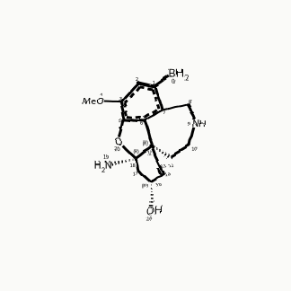 Bc1cc(OC)c2c3c1CNCC[C@@]31C=C[C@H](O)C[C@@]1(N)O2